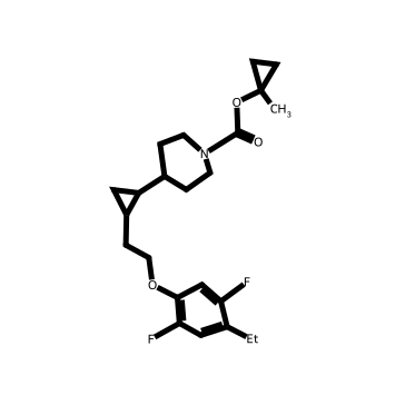 CCc1cc(F)c(OCCC2CC2C2CCN(C(=O)OC3(C)CC3)CC2)cc1F